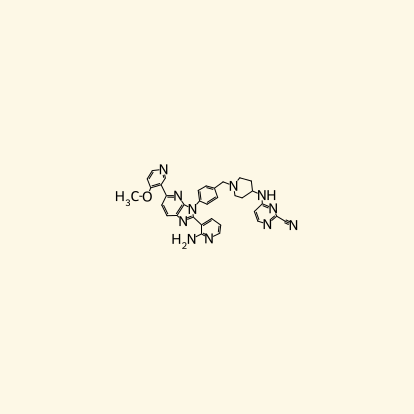 COc1ccncc1-c1ccc2nc(-c3cccnc3N)n(-c3ccc(CN4CCC(Nc5ccnc(C#N)n5)CC4)cc3)c2n1